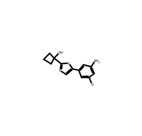 O=[N+]([O-])c1cc(Cl)cc(-c2cnc(C3(O)CCC3)s2)c1